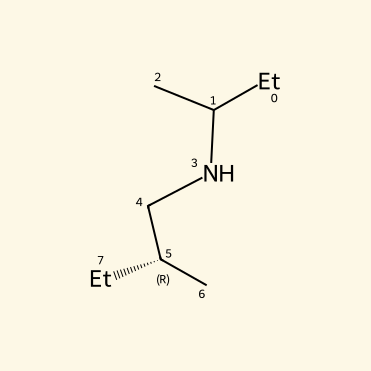 CCC(C)NC[C@H](C)CC